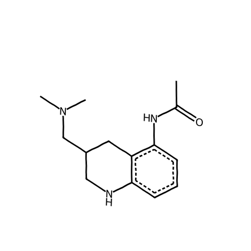 CC(=O)Nc1cccc2c1CC(CN(C)C)CN2